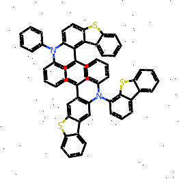 c1ccc(N(c2ccccc2)c2ccc3sc4ccccc4c3c2-c2ccc(-c3cc4sc5ccccc5c4cc3N(c3ccccc3)c3cccc4c3sc3ccccc34)cc2)cc1